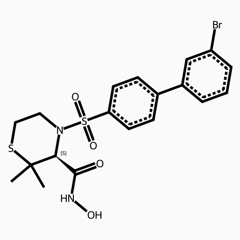 CC1(C)SCCN(S(=O)(=O)c2ccc(-c3cccc(Br)c3)cc2)[C@H]1C(=O)NO